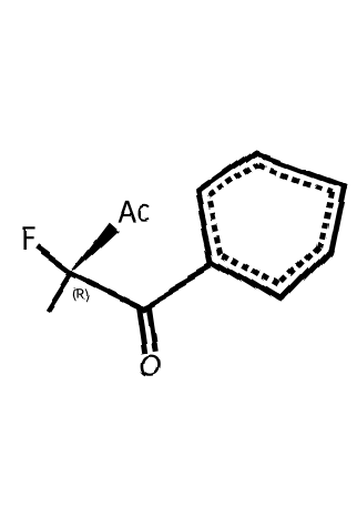 CC(=O)[C@@](C)(F)C(=O)c1ccccc1